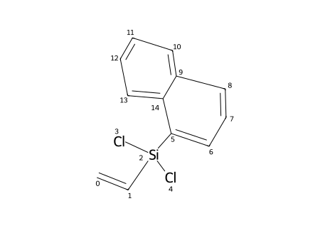 C=C[Si](Cl)(Cl)c1cccc2ccccc12